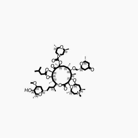 CO[C@H]1C[C@H](CC[C@H](C)[C@H]2OC(=O)[C@H](C)[C@@H](O[C@H]3C[C@@H](C)N(C)C[C@H](C)O3)[C@H](C)[C@@H](OC[C@H]3CC(=O)C[C@@H](C)O3)[C@@H](C)C[C@](C)(OC(=O)N3C[C@H](C)O[C@@H](C)C3)C(=O)[C@H](C)[C@H](OC(=O)CC(C)C)[C@H]2C)O[C@H](C)[C@H]1O